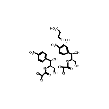 O=C(N[C@H](CO)[C@H](O)c1ccc([N+](=O)[O-])cc1)C(Cl)Cl.O=C(N[C@H](CO)[C@H](O)c1ccc([N+](=O)[O-])cc1)C(Cl)Cl.O=C(O)CCC(=O)O